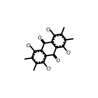 Cc1c(C)c(Cl)c2c(c1Cl)C(=O)c1c(Cl)c(C)c(C)c(Cl)c1C2=O